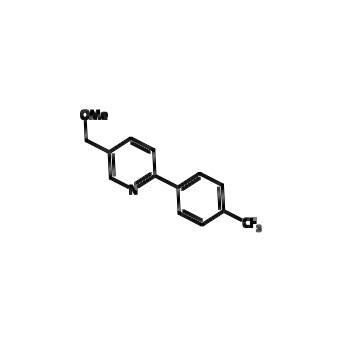 COCc1ccc(-c2ccc(C(F)(F)F)cc2)nc1